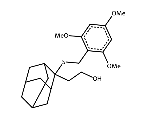 COc1cc(OC)c(CSC2(CCO)C3CC4CC(C3)CC2C4)c(OC)c1